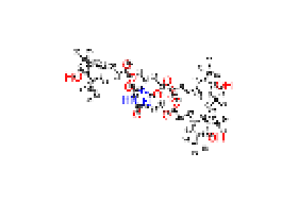 CC(C)(C)c1cc(CCC(=O)OCCC(COC(=O)CCc2cc(C(C)(C)C)c(O)c(C(C)(C)C)c2)n2c(=O)[nH]c(=O)n(CCOC(=O)CCc3cc(C(C)(C)C)c(O)c(C(C)(C)C)c3)c2=O)cc(C(C)(C)C)c1O